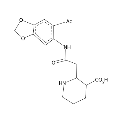 CC(=O)c1cc2c(cc1NC(=O)CC1NCCCC1C(=O)O)OCO2